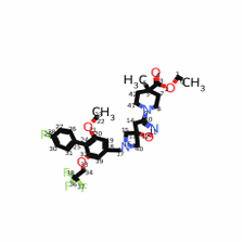 CCOC(=O)C1(C)CCN(C2=NOC3(C2)CN(Cc2cc(OCC)c(-c4ccc(F)cc4)c(OCC(F)(F)F)c2)C3)CC1